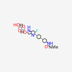 CNC(=O)Nc1ccc(-c2ccc(-c3nc4cc(O[C@@H]5CO[C@H]6[C@@H]5OC[C@H]6O)[nH]c4cc3F)cc2)cc1